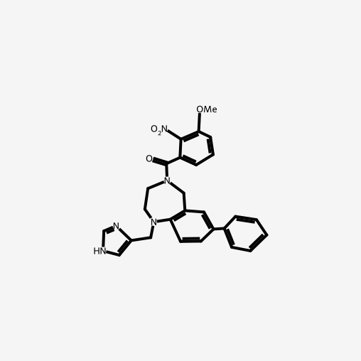 COc1cccc(C(=O)N2CCN(Cc3c[nH]cn3)c3ccc(-c4ccccc4)cc3C2)c1[N+](=O)[O-]